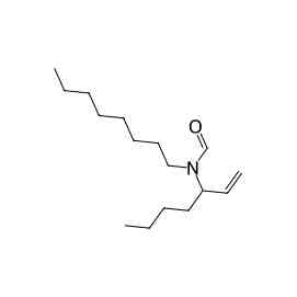 C=CC(CCCC)N(C=O)CCCCCCCC